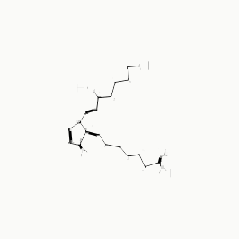 CCCCCC(O)C=CC1C=CC(=O)C1=CCCCCCC(=O)O